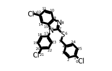 Clc1ccc(CSc2nc3ccc(Cl)cc3n2-c2ccc(Cl)cc2)cc1